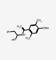 C=C(NC(CCC)CC(C)C)c1cc(C)c(OC)cc1C